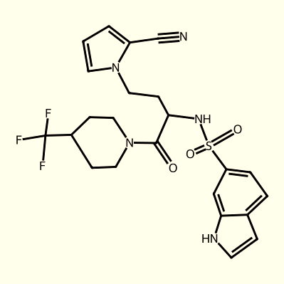 N#Cc1cccn1CCC(NS(=O)(=O)c1ccc2cc[nH]c2c1)C(=O)N1CCC(C(F)(F)F)CC1